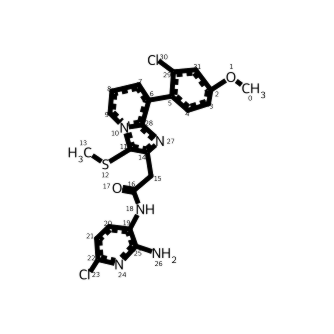 COc1ccc(-c2cccn3c(SC)c(CC(=O)Nc4ccc(Cl)nc4N)nc23)c(Cl)c1